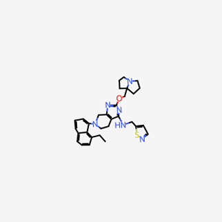 CCc1cccc2cccc(N3CCc4c(nc(OCC56CCCN5CCC6)nc4NCc4ccns4)C3)c12